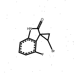 O=C1Nc2cccc(F)c2C12CC2Br